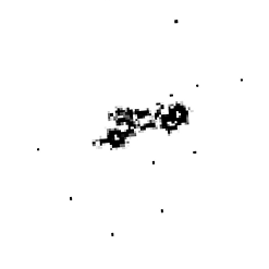 CCCCC1CN(C(=O)c2cccc3ccccc23)CCN1C(Cc1ccc(Cl)cc1)c1cnc[nH]1